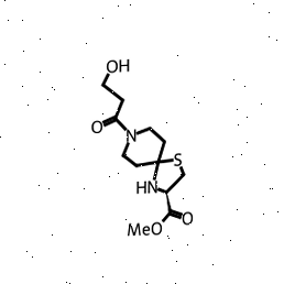 COC(=O)[C@@H]1CSC2(CCN(C(=O)CCO)CC2)N1